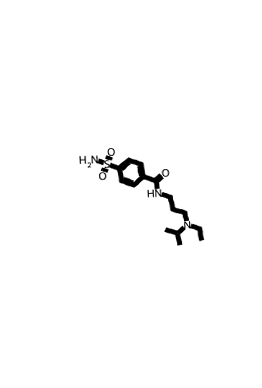 CCN(CCCNC(=O)c1ccc(S(N)(=O)=O)cc1)C(C)C